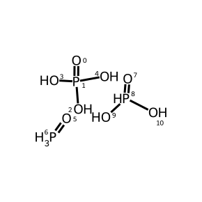 O=P(O)(O)O.O=[PH3].O=[PH](O)O